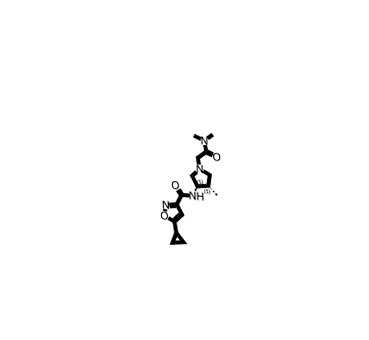 C[C@H]1CN(CC(=O)N(C)C)C[C@H]1NC(=O)c1cc(C2CC2)on1